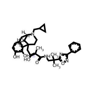 C/C(C(=O)NCC(C)(C)c1nc(-c2ccccc2)no1)=C(/O)CC12CCN(CC3CC3)[C@H](Cc3ccc(O)c(O)c31)C2(C)O